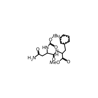 COC(=O)C(Cc1ccccc1)NC(=O)C(CC(N)=O)NC(=O)OC(C)(C)C